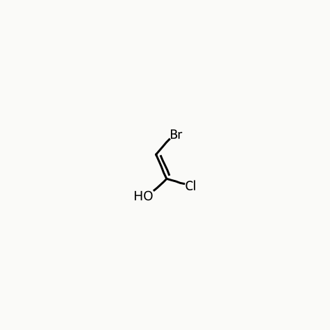 OC(Cl)=CBr